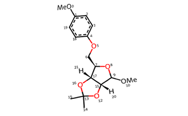 COc1ccc(OC[C@H]2OC(OC)[C@@H]3OC(C)(C)O[C@H]23)cc1